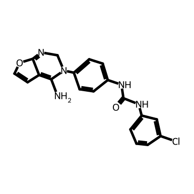 NC1=c2ccoc2=NCN1c1ccc(NC(=O)Nc2cccc(Cl)c2)cc1